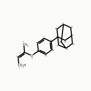 C/C(=C/C(=O)O)Oc1ccc(C23CC4CC(CC(C4)C2)C3)cc1